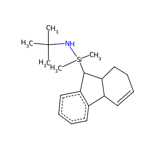 CC(C)(C)N[Si](C)(C)C1c2ccccc2C2C=CCCC21